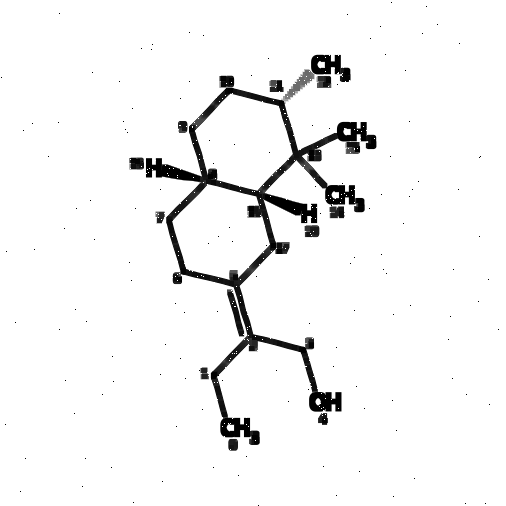 CCC(CO)=C1CC[C@@H]2CC[C@H](C)C(C)(C)[C@@H]2C1